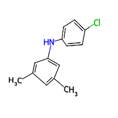 Cc1cc(C)cc(Nc2ccc(Cl)cc2)c1